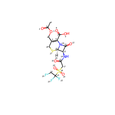 CC(=O)OCC1=C(C(=O)O)N2C(=O)[C@@H](NC(=O)CS(=O)(=O)C(F)(F)CF)[C@H]2SC1